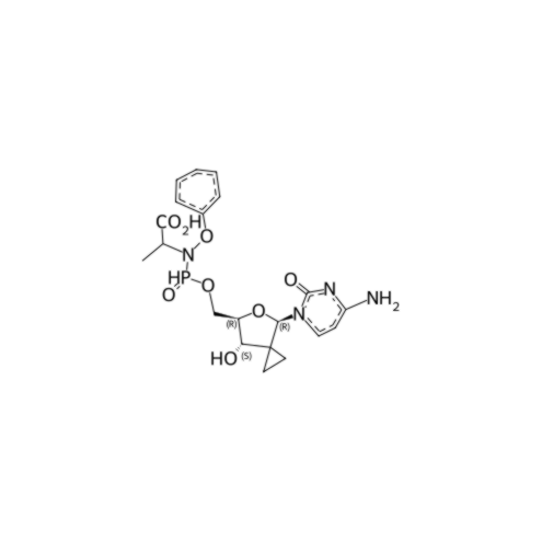 CC(C(=O)O)N(Oc1ccccc1)[PH](=O)OC[C@H]1O[C@@H](n2ccc(N)nc2=O)C2(CC2)[C@@H]1O